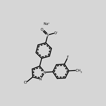 Cc1ccc(-n2nc(Cl)cc2-c2ccc(S(=O)[O-])cc2)cc1F.[Na+]